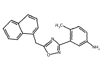 Cc1ccc(N)cc1-c1noc(Cc2cccc3ccccc23)n1